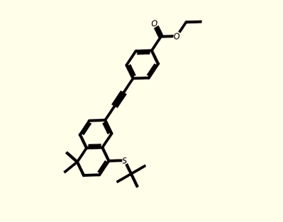 CCOC(=O)c1ccc(C#Cc2ccc3c(c2)C(SC(C)(C)C)=CCC3(C)C)cc1